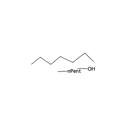 CCCCCC.CCCCCCC.CO